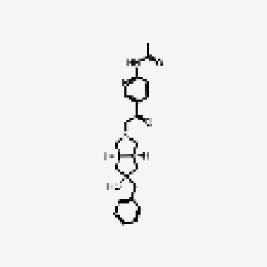 CC(=O)Nc1ccc(C(=O)CN2C[C@@H]3C[C@@](O)(Cc4ccccc4)C[C@@H]3C2)cn1